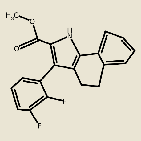 COC(=O)c1[nH]c2c(c1-c1cccc(F)c1F)CCc1ccccc1-2